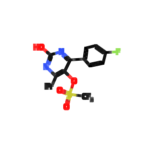 CC(C)c1nc(O)nc(-c2ccc(F)cc2)c1OS(=O)(=O)C(F)(F)F